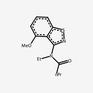 CCCC(=O)N(CC)c1nsc2cccc(OC)c12